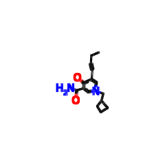 CCC#Cc1cn(CC2CCC2)cc(C(N)=O)c1=O